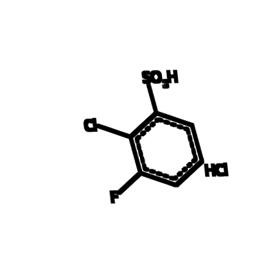 Cl.O=S(=O)(O)c1cccc(F)c1Cl